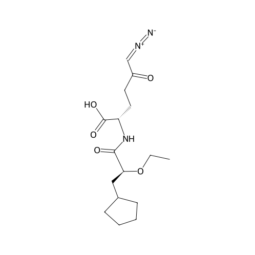 CCO[C@@H](CC1CCCC1)C(=O)N[C@@H](CCC(=O)C=[N+]=[N-])C(=O)O